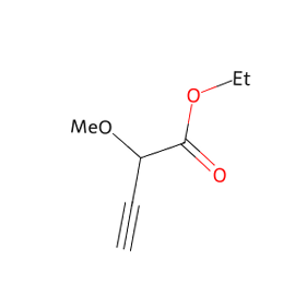 C#CC(O[CH2])C(=O)OCC